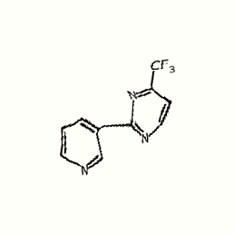 FC(F)(F)c1ccnc(-c2cccnc2)n1